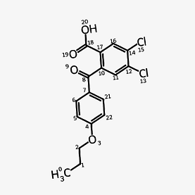 CCCOc1ccc(C(=O)c2cc(Cl)c(Cl)cc2C(=O)O)cc1